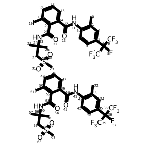 Cc1cc(C(F)(C(F)(F)F)C(F)(F)F)ccc1NC(=O)c1cccc(I)c1C(=O)NC(C)(C)CS(C)(=O)=O.Cc1cc(C(F)(C(F)(F)F)C(F)(F)F)ccc1NC(=O)c1cccc(I)c1C(=O)NC(C)(C)CS(C)(=O)=O